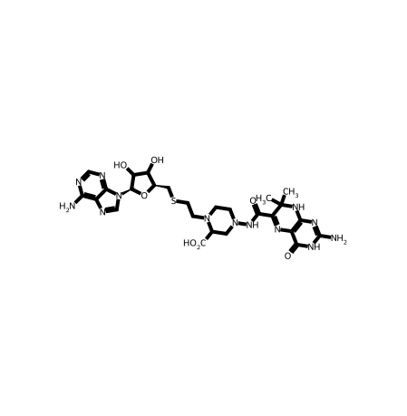 CC1(C)Nc2nc(N)[nH]c(=O)c2N=C1C(=O)NN1CCN(CCSC[C@H]2O[C@@H](n3cnc4c(N)ncnc43)C(O)C2O)C(C(=O)O)C1